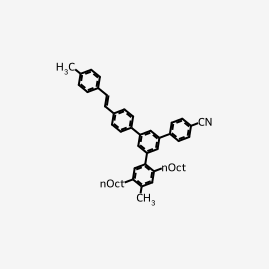 CCCCCCCCc1cc(-c2cc(-c3ccc(C#N)cc3)cc(-c3ccc(/C=C/c4ccc(C)cc4)cc3)c2)c(CCCCCCCC)cc1C